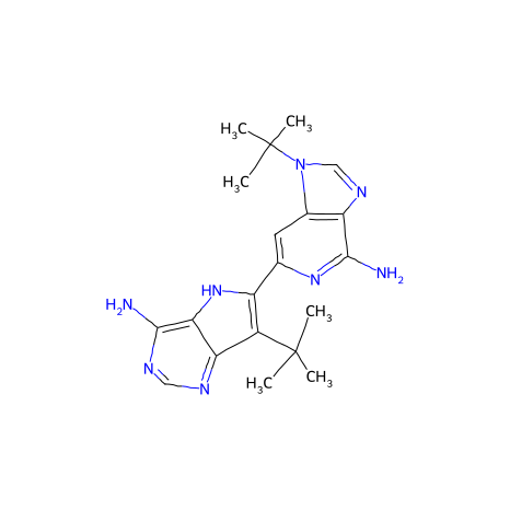 CC(C)(C)c1c(-c2cc3c(ncn3C(C)(C)C)c(N)n2)[nH]c2c(N)ncnc12